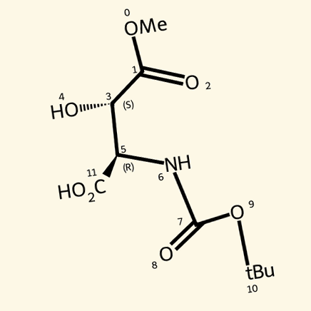 COC(=O)[C@@H](O)[C@@H](NC(=O)OC(C)(C)C)C(=O)O